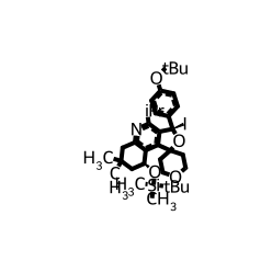 CC(C)c1nc2c(c3c1[C@](I)(c1ccc(OC(C)(C)C)cc1)OC31CCOCC1)[C@@H](O[Si](C)(C)C(C)(C)C)CC(C)(C)C2